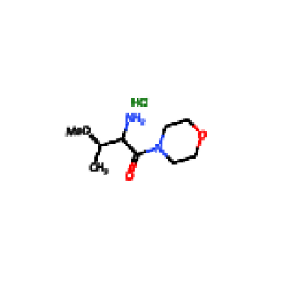 CO[C@H](C)C(N)C(=O)N1CCOCC1.Cl